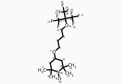 CC1(C)CC(OCCCCOC(C(F)(F)F)(C(F)(F)F)C(F)(F)F)CC(C)(C)N1[O]